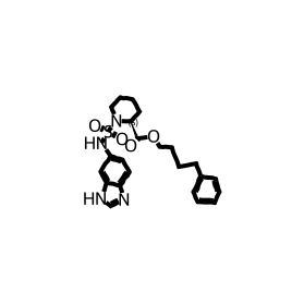 O=C(OCCCCc1ccccc1)[C@@H]1CCCCN1S(=O)(=O)Nc1ccc2nc[nH]c2c1